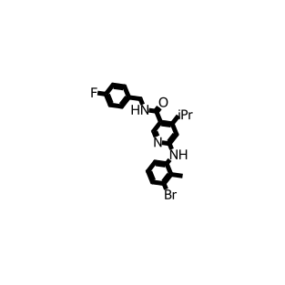 Cc1c(Br)cccc1Nc1cc(C(C)C)c(C(=O)NCc2ccc(F)cc2)cn1